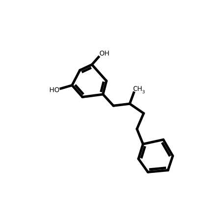 CC(CCc1ccccc1)Cc1cc(O)cc(O)c1